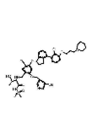 C[C@@H](O)[C@H](NCc1cc(Cl)c(O[C@H]2CCc3c(-c4cccc(OCCCN5CCCCC5)c4Cl)cccc32)cc1OCc1cncc(C#N)c1)C(=O)NS(C)(=O)=O